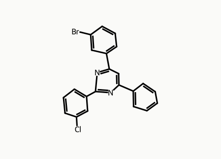 Clc1cccc(-c2nc(-c3ccccc3)cc(-c3cccc(Br)c3)n2)c1